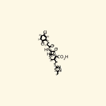 Cc1nnc(SCC2=C(C(=O)O)N3C(=O)C(NC(=O)CSc4cc(Cl)ccc4Cl)[C@H]3SC2)s1